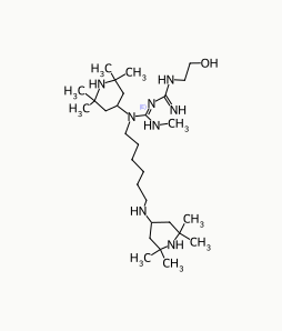 CN/C(=N\C(=N)NCCO)N(CCCCCCNC1CC(C)(C)NC(C)(C)C1)C1CC(C)(C)NC(C)(C)C1